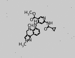 COC(=O)c1cnc(NC(=O)C2CC2)cc1Nc1cccc2c1N(C)Cc1cn(C)nc1-2